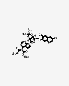 CC(C)(C)OC(=O)N(C(=O)OC(C)(C)C)c1ncnc2c1ccn2[C@@H]1O[C@H](COc2cc3ncc(Br)cc3cc2Cl)[C@H]2OC(C)(C)O[C@H]21